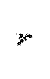 Cc1ccc(-c2ccc(N3C(=O)[C@H](SC[C@H](O)c4ccc(F)cc4)[C@H]3c3ccc(O)cc3O)cc2)cn1